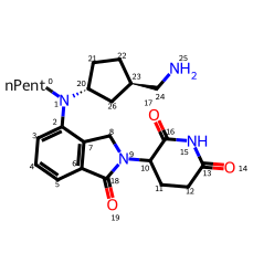 CCCCCN(c1cccc2c1CN(C1CCC(=O)NC1=O)C2=O)[C@@H]1CC[C@@H](CN)C1